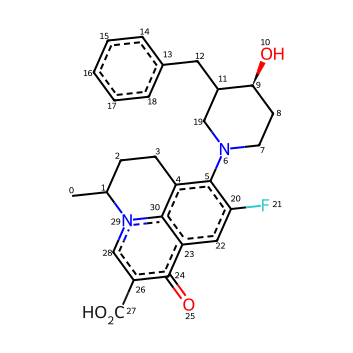 CC1CCc2c(N3CC[C@H](O)C(Cc4ccccc4)C3)c(F)cc3c(=O)c(C(=O)O)cn1c23